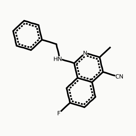 Cc1nc(NCc2ccccc2)c2cc(F)ccc2c1C#N